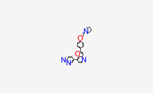 CN(C)c1ccc(-c2ccnc3cc(-c4ccc(OCCN5CCCC5)cc4)oc23)cn1